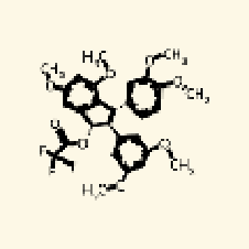 COc1cc(OC)cc([C@@H]2[C@@H](c3ccc(OC)c(OC)c3)c3c(OC)cc(OC)cc3[C@H]2OC(=O)C(F)(F)F)c1